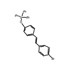 CC(C)[Si](Oc1ccc(/C=C/c2ccc(Br)cc2)cc1)(C(C)C)C(C)C